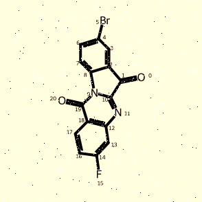 O=C1c2cc(Br)ccc2-n2c1nc1cc(F)ccc1c2=O